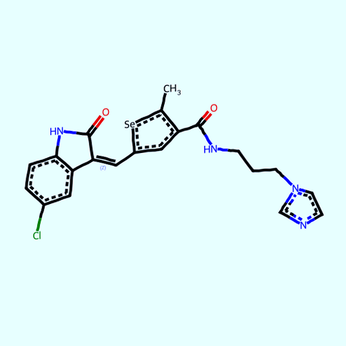 Cc1[se]c(/C=C2\C(=O)Nc3ccc(Cl)cc32)cc1C(=O)NCCCn1ccnc1